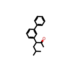 CC(=O)C(CC(C)C)c1cccc(-c2ccccc2)c1